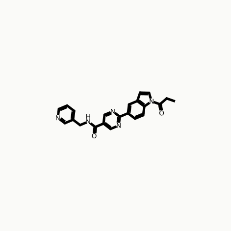 CCC(=O)n1ccc2cc(-c3ncc(C(=O)NCc4cccnc4)cn3)ccc21